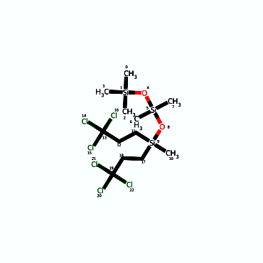 C[Si](C)(C)O[Si](C)(C)O[Si](C)(CCC(Cl)(Cl)Cl)CCC(Cl)(Cl)Cl